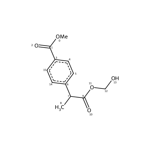 COC(=O)c1ccc(C(C)C(=O)OCO)cc1